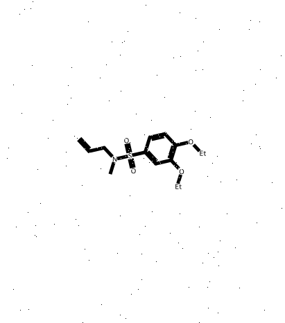 C=CCN(C)S(=O)(=O)c1ccc(OCC)c(OCC)c1